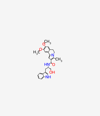 COc1cc2c(cc1OC)-c1cc(C(=O)N[C@@H](CO)Cc3c[nH]c4ccccc34)c(C)n1CC2